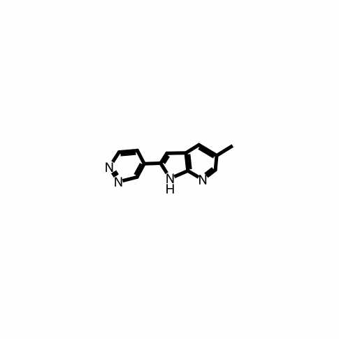 Cc1cnc2[nH]c(-c3ccnnc3)cc2c1